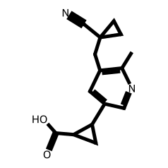 Cc1ncc(C2CC2C(=O)O)cc1CC1(C#N)CC1